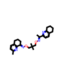 C/C(=N\OCC(C)(C)CO/N=C1\CCCc2ccc(C)nc21)c1ccc2c(n1)CCCC2